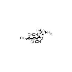 NOP(=O)(O)OC(=O)[C@H](O)[C@@H](O)[C@H](O)[C@H](O)CO